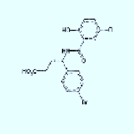 O=C(O)CC[C@H](NC(=O)c1cc(Cl)ccc1O)c1ccc(Br)cc1